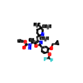 CC(NC(=O)OC(C)(C)C)c1oc(-c2ccc(OC(F)F)c(OCC3CC3)c2)nc1CC1(C(=O)O)C=CC(C)(C(=O)O)C=N1